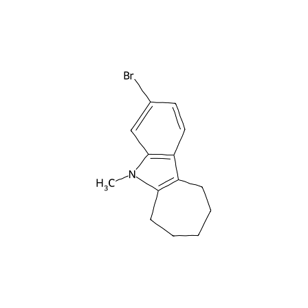 Cn1c2c(c3ccc(Br)cc31)CCCCC2